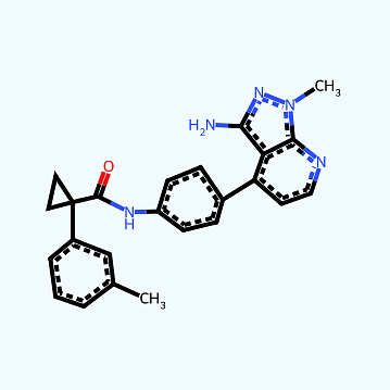 Cc1cccc(C2(C(=O)Nc3ccc(-c4ccnc5c4c(N)nn5C)cc3)CC2)c1